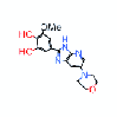 COc1cc(-c2nc3cc(N4CCOCC4)cnc3[nH]2)cc(O)c1O